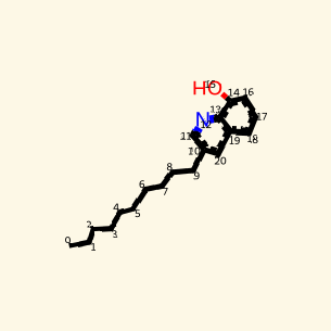 CCCCCCCCCCc1cnc2c(O)cccc2c1